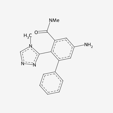 CNC(=O)c1cc(N)cc(-c2ccccc2)c1-c1nncn1C